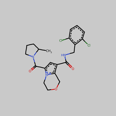 CC1CCCN1C(=O)c1cc(C(=O)NCc2c(Cl)cccc2Cl)c2n1CCOC2